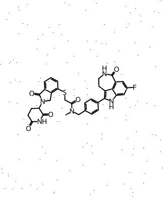 CN(Cc1ccc(-c2[nH]c3cc(F)cc4c3c2CCNC4=O)cc1)C(=O)CSc1cccc2c1CN(C1CCC(=O)NC1=O)C2=O